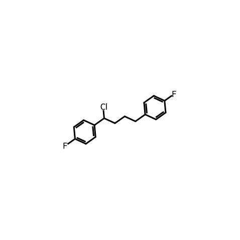 Fc1ccc(CCCC(Cl)c2ccc(F)cc2)cc1